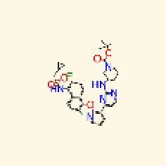 Cc1ccc2c(NS(=O)(=O)CC3CC3)c(F)ccc2c1Oc1ncccc1-c1ccnc(NC2CCCN(C(=O)OC(C)(C)C)C2)n1